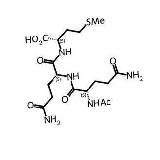 CSCC[C@H](NC(=O)[C@H](CCC(N)=O)NC(=O)[C@H](CCC(N)=O)NC(C)=O)C(=O)O